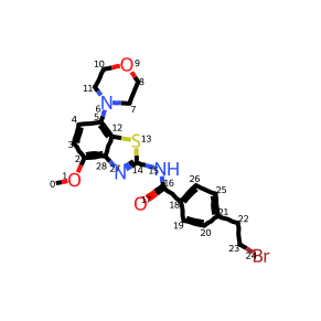 COc1ccc(N2CCOCC2)c2sc(NC(=O)c3ccc(CCBr)cc3)nc12